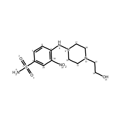 NS(=O)(=O)c1ccc(NN2CCN(CCO)CC2)c([N+](=O)[O-])c1